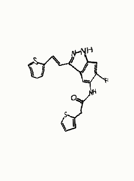 O=C(Cc1cccs1)Nc1cc2c(/C=C/c3cccs3)n[nH]c2cc1F